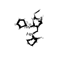 CSc1ncc(CNc2ccccc2F)c(NC2CCCC2)n1